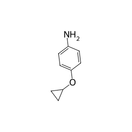 Nc1ccc(OC2CC2)cc1